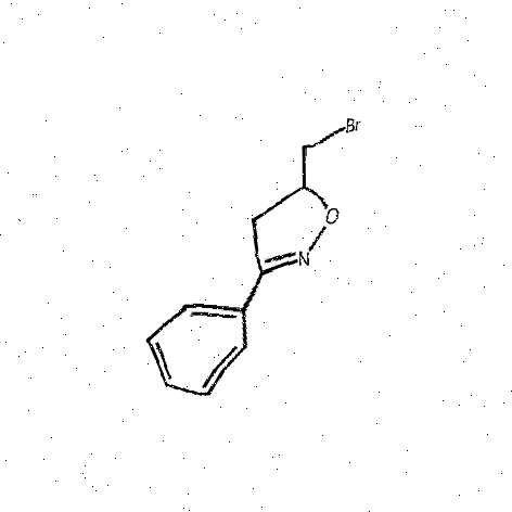 BrCC1CC(c2ccccc2)=NO1